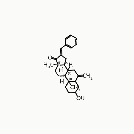 C=C1C[C@@H]2[C@H](CC[C@]3(C)C(=O)C(=Cc4ccccc4)C[C@@H]23)[C@@]2(C)CCC(O)CC12